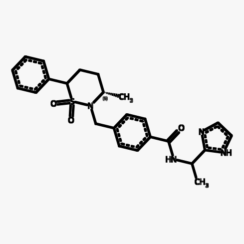 CC(NC(=O)c1ccc(CN2[C@@H](C)CCC(c3ccccc3)S2(=O)=O)cc1)c1ncc[nH]1